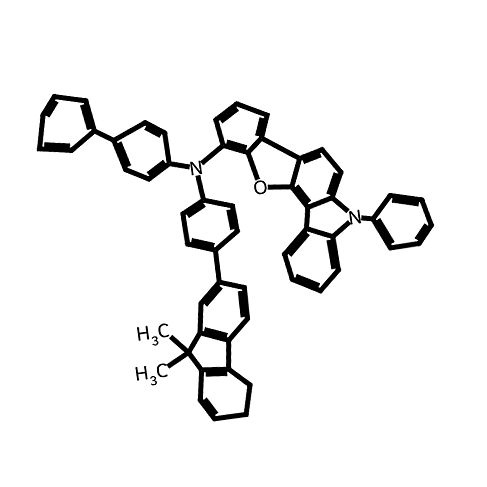 CC1(C)C2=C(CCC=C2)c2ccc(-c3ccc(N(c4ccc(-c5ccccc5)cc4)c4cccc5c4oc4c5ccc5c4c4ccccc4n5-c4ccccc4)cc3)cc21